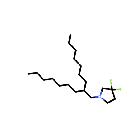 CCCCCCCC(CCCCCCC)CN1CCC(F)(F)C1